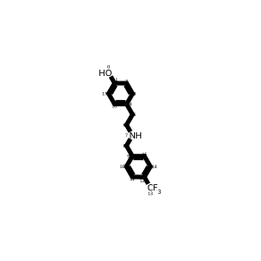 Oc1ccc(CCNCc2ccc(C(F)(F)F)cc2)cc1